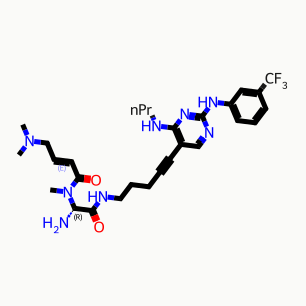 CCCNc1nc(Nc2cccc(C(F)(F)F)c2)ncc1C#CCCCNC(=O)[C@H](N)N(C)C(=O)/C=C/CN(C)C